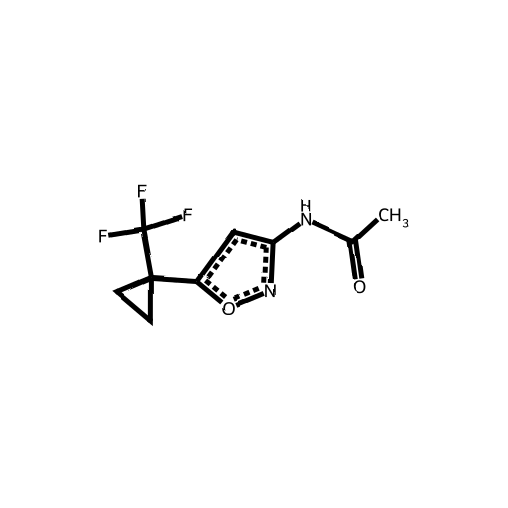 CC(=O)Nc1cc(C2(C(F)(F)F)CC2)on1